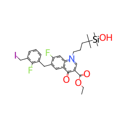 CCOC(=O)c1cn(CCCC(C)(C)[Si](C)(C)O)c2cc(F)c(Cc3cccc(CI)c3F)cc2c1=O